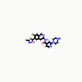 CC1=NPC(c2cc3cc(NC(=O)c4ccnc(N5CCN(C)CC5)c4)ncc3cc2F)S1